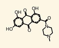 CN1CCN(C(=O)c2cc(O)c3c(c2)C(=O)c2cc(O)cc(O)c2C3=O)CC1